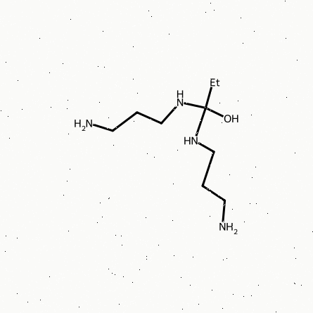 CCC(O)(NCCCN)NCCCN